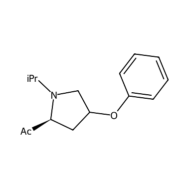 CC(=O)[C@@H]1CC(Oc2ccccc2)CN1C(C)C